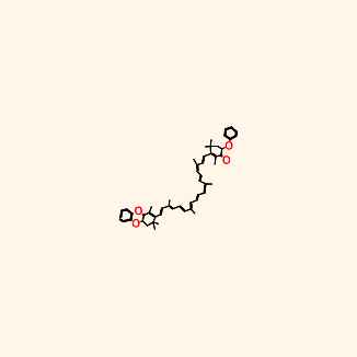 CC(C=CC=C(C)C=CC1=C(C)C(=O)C(Oc2ccccc2)CC1(C)C)=CC=CC=C(C)C=CC=C(C)C=CC1=C(C)C(=O)C(Oc2ccccc2)CC1(C)C